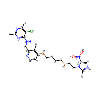 Cc1nc(C)c(Cl)c(NCc2nccc(SCCCCSCCn3c([N+](=O)[O-])cnc3C)c2C)n1